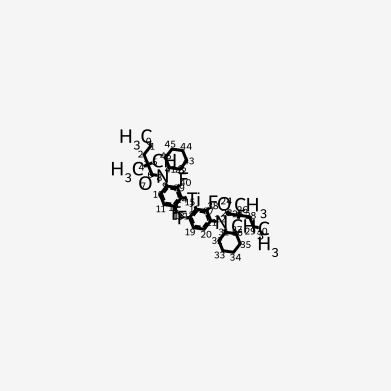 CCCC(C)(C)C(=O)N(c1ccc(F)[c]([Ti][c]2c(F)ccc(N(C(=O)C(C)(C)CCC)C3CCCCC3)c2F)c1F)C1CCCCC1